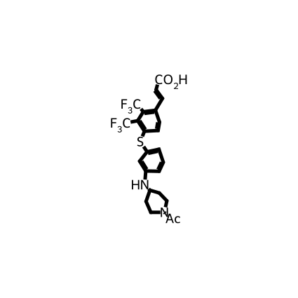 CC(=O)N1CCC(Nc2cccc(Sc3ccc(/C=C/C(=O)O)c(C(F)(F)F)c3C(F)(F)F)c2)CC1